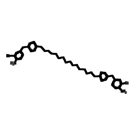 CCc1cc(Cc2ccc(CCCCCCCCCCCCCCCCc3ccc(Cc4ccc(N)c(CC)c4)cc3)cc2)ccc1N